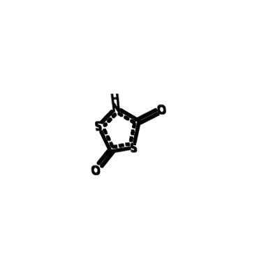 O=c1[nH]sc(=O)s1